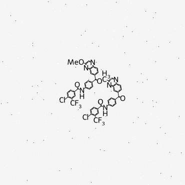 COc1cnc2ccc(C(=O)c3ccc(NC(=O)c4ccc(Cl)c(C(F)(F)F)c4)cc3)cc2n1.Cc1cnc2ccc(C(=O)c3ccc(NC(=O)c4ccc(Cl)c(C(F)(F)F)c4)cc3)cc2n1